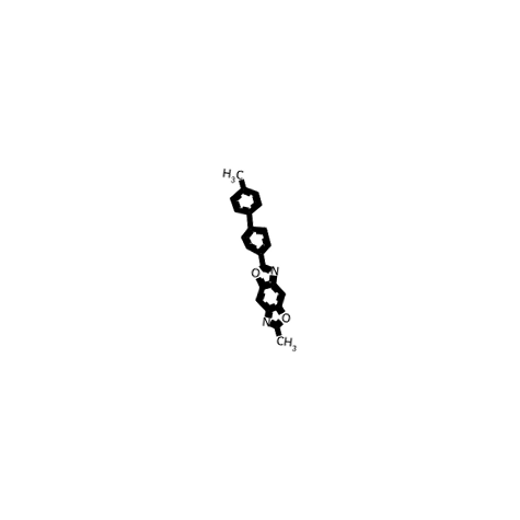 Cc1ccc(-c2ccc(-c3nc4cc5oc(C)nc5cc4o3)cc2)cc1